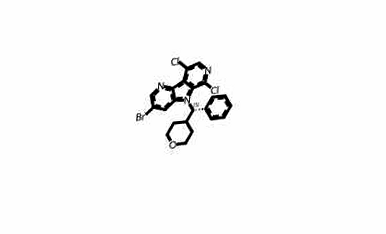 Clc1cnc(Cl)c2c1c1ncc(Br)cc1n2[C@H](c1ccccc1)C1CCOCC1